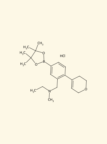 CCN(C)Cc1cc(B2OC(C)(C)C(C)(C)O2)ccc1C1=CCOCC1.Cl